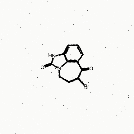 O=C1c2cccc3[nH]c(=O)n(c23)CCC1Br